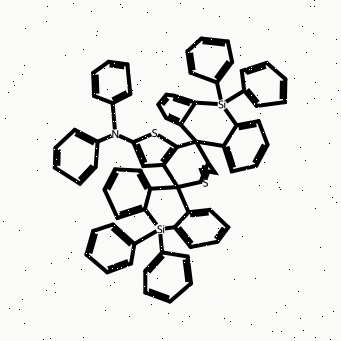 c1ccc(N(c2ccccc2)c2cc3c(s2)C2(c4ccccc4[Si](c4ccccc4)(c4ccccc4)c4ccccc42)c2ccsc2C32c3ccccc3[Si](c3ccccc3)(c3ccccc3)c3ccccc32)cc1